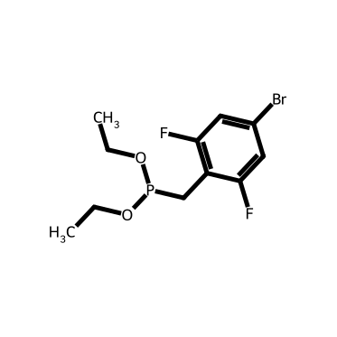 CCOP(Cc1c(F)cc(Br)cc1F)OCC